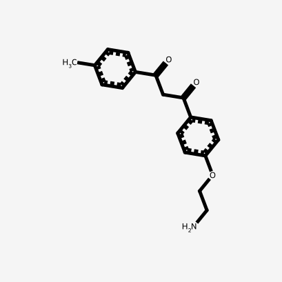 Cc1ccc(C(=O)CC(=O)c2ccc(OCCN)cc2)cc1